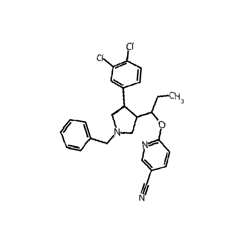 CCC(Oc1ccc(C#N)cn1)C1CN(Cc2ccccc2)CC1c1ccc(Cl)c(Cl)c1